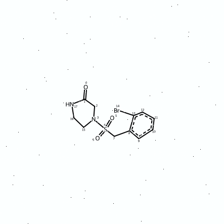 O=C1CN(S(=O)(=O)Cc2ccccc2Br)CCN1